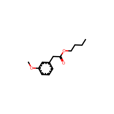 CCCCOC(=O)Cc1cccc(OC)c1